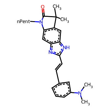 CCCCCN1C(=O)C(C)(C)c2cc3[nH]c(C=Cc4cccc(N(C)C)c4)nc3cc21